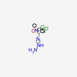 CN(CC(CCN1CCC(NCCN)CC1)c1ccc(Cl)c(Cl)c1)C(=O)c1ccccc1